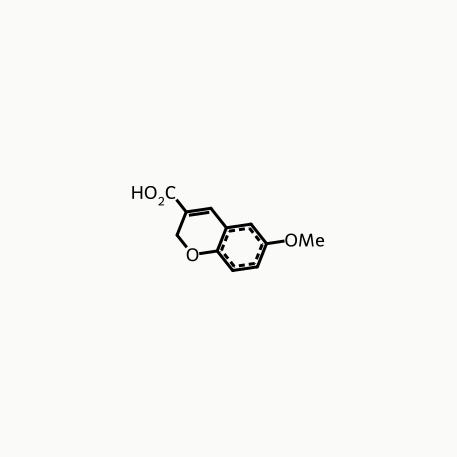 COc1ccc2c(c1)C=C(C(=O)O)CO2